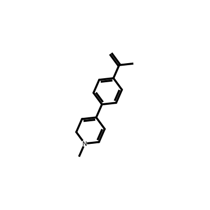 C=C(C)c1ccc(C2=CCN(C)C=C2)cc1